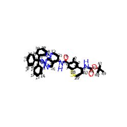 Cc1cc2c(cc1C(=O)Nc1ccnc3c1cnn3C(c1ccccc1)(c1ccccc1)c1ccccc1)SCC[C@@H]2NC(=O)OC(C)(C)C